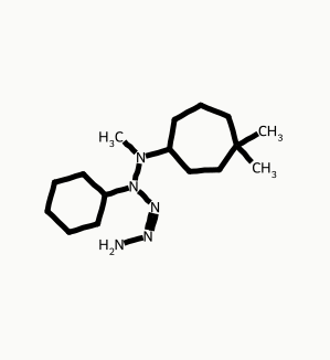 CN(C1CCCC(C)(C)CC1)N(/N=N\N)C1CCCCC1